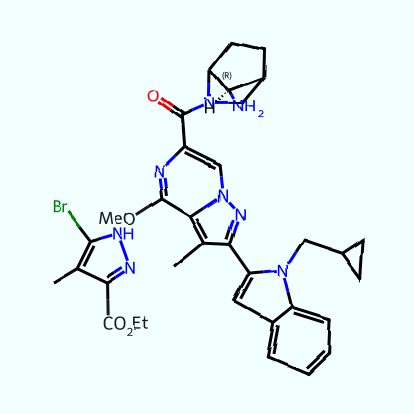 CCOC(=O)c1n[nH]c(Br)c1C.COc1nc(C(=O)N2CC3CCC2[C@@H]3N)cn2nc(-c3cc4ccccc4n3CC3CC3)c(C)c12